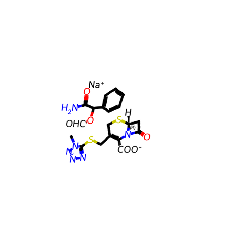 Cn1nnnc1SCC1=C(C(=O)[O-])N2C(=O)C[C@H]2SC1.NC(=O)C(OC=O)c1ccccc1.[Na+]